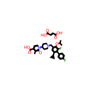 Cc1c(C(=O)O)ccn(C2CCN(Cc3cc(C4CC4)c(-c4ccc(F)cc4)c(F)c3OC(C)C)CC2)c1=O.O=C(O)C=CC(=O)O